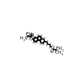 C=C(C)C(=O)OCCCCC1=CCc2c(ccc3cc(OC(=O)C(=C)C)ccc23)C1